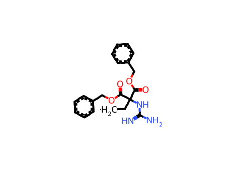 [CH2]CC(NC(=N)N)(C(=O)OCc1ccccc1)C(=O)OCc1ccccc1